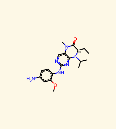 CC[C@@H]1C(=O)N(C)c2cnc(Nc3ccc(N)cc3OC)nc2N1C(C)C